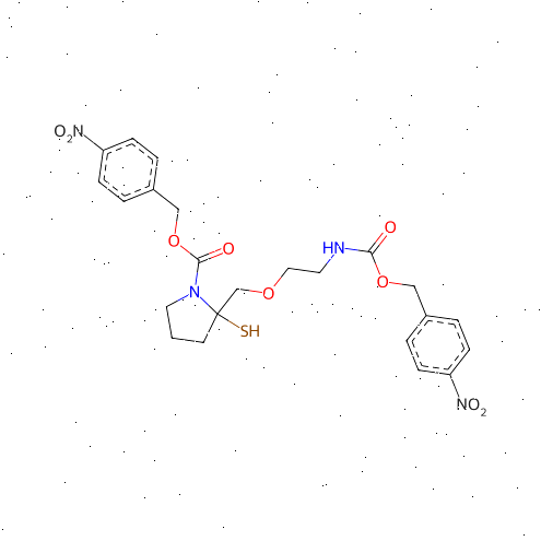 O=C(NCCOCC1(S)CCCN1C(=O)OCc1ccc([N+](=O)[O-])cc1)OCc1ccc([N+](=O)[O-])cc1